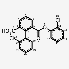 O=C(O)c1cccc(C(=O)Oc2ccccc2Cl)c1-c1ccccc1Cl